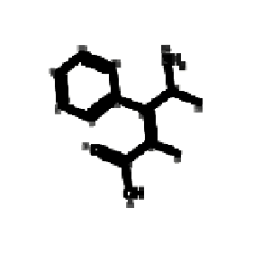 CC(C(=O)O)=C(c1ccccc1)C(C)N